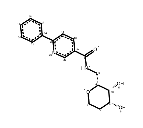 O=C(NC[C@H]1OCC[C@@H](O)[C@H]1O)c1ccc(-c2ccccc2)nc1